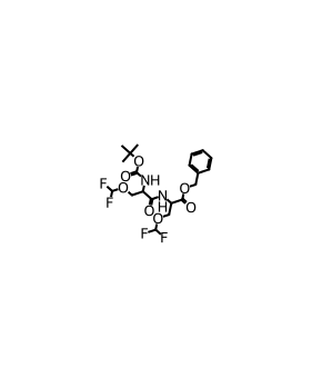 CC(C)(C)OC(=O)NC(COC(F)F)C(=O)NC(COC(F)F)C(=O)OCc1ccccc1